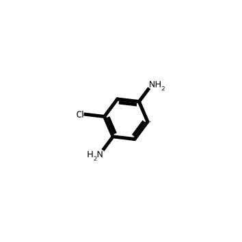 Nc1[c]cc(N)c(Cl)c1